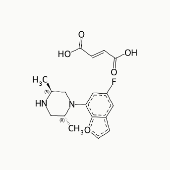 C[C@@H]1CN[C@@H](C)CN1c1cc(F)cc2ccoc12.O=C(O)C=CC(=O)O